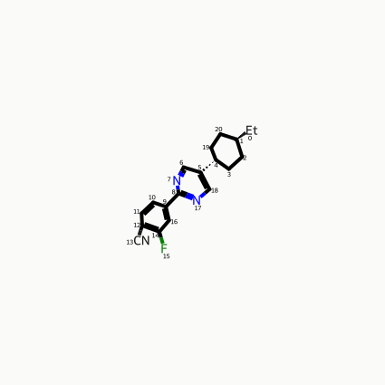 CC[C@H]1CC[C@H](c2cnc(-c3ccc(C#N)c(F)c3)nc2)CC1